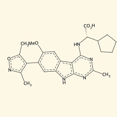 COc1cc2c(cc1-c1c(C)noc1C)[nH]c1nc(C)nc(N[C@H](C(=O)O)C3CCCC3)c12